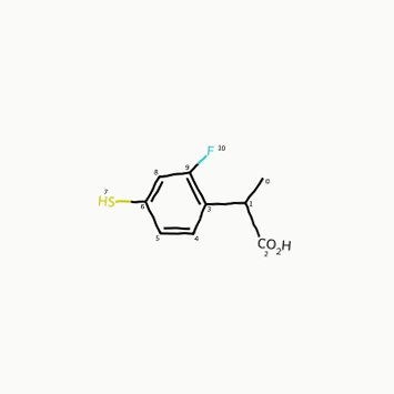 CC(C(=O)O)c1ccc(S)cc1F